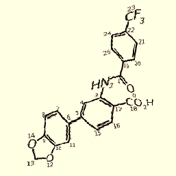 O=C(Nc1cc(-c2ccc3c(c2)OCO3)ccc1C(=O)O)c1ccc(C(F)(F)F)cc1